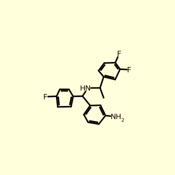 CC(NC(c1ccc(F)cc1)c1cccc(N)c1)c1ccc(F)c(F)c1